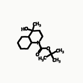 CC(C)(C)OC(=O)N1CCC(C)(O)C2CCCCC21